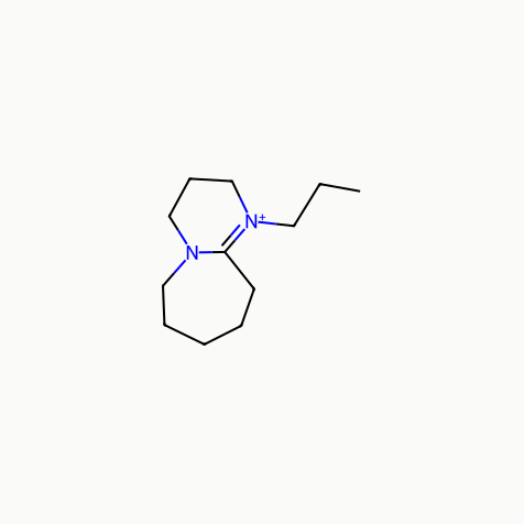 CCC[N+]1=C2CCCCCN2CCC1